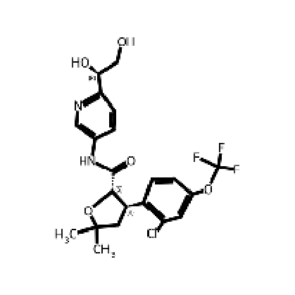 CC1(C)C[C@H](c2ccc(OC(F)(F)F)cc2Cl)[C@@H](C(=O)Nc2ccc([C@@H](O)CO)nc2)O1